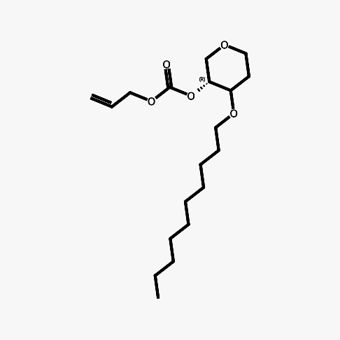 C=CCOC(=O)O[C@@H]1COCCC1OCCCCCCCCCC